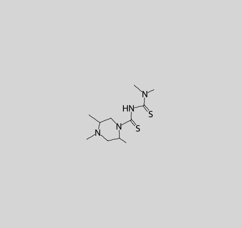 CC1CN(C(=S)NC(=S)N(C)C)C(C)CN1C